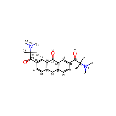 CN(C)C(C)(C)C(=O)c1ccc2c(c1)C(=O)c1cc(C(=O)C(C)(C)N(C)C)ccc1C2